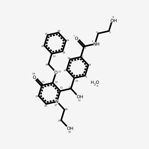 O.O=C(NCCO)c1ccc(C(O)c2c(OCc3ccccc3)c(=O)ccn2CCO)cc1